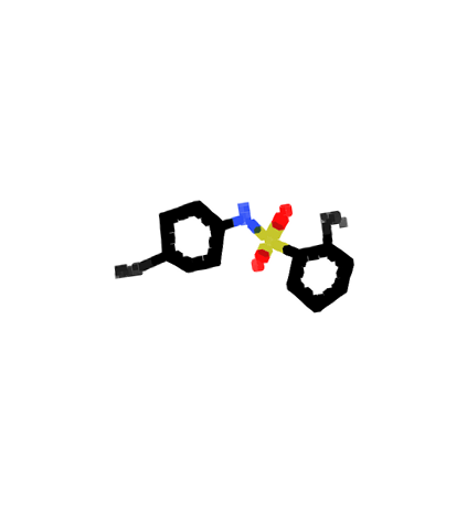 CSc1ccc(NS(=O)(=O)c2ccccc2[N+](=O)[O-])cc1